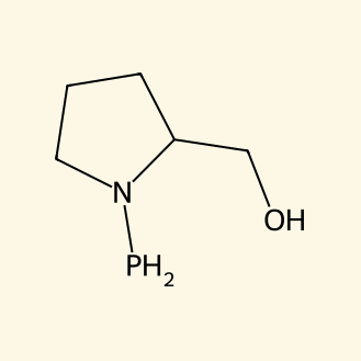 OCC1CCCN1P